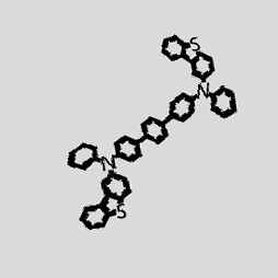 C1=CCCC(N(c2ccc(-c3ccc(-c4ccc(N(c5ccccc5)c5ccc6sc7ccccc7c6c5)cc4)cc3)cc2)c2ccc3sc4ccccc4c3c2)=C1